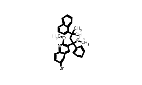 COc1nc2ccc(Br)cc2cc1C(CC(C)(O)c1cccc2ccccc12)(c1ccccc1)N(C)C